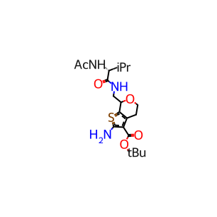 CC(=O)N[C@@H](C(=O)NCC1OCCc2c1sc(N)c2C(=O)OC(C)(C)C)C(C)C